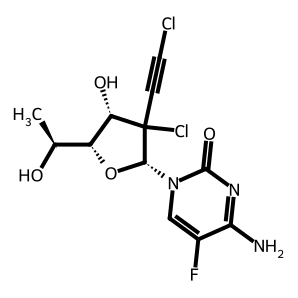 C[C@H](O)[C@H]1O[C@@H](n2cc(F)c(N)nc2=O)C(Cl)(C#CCl)[C@H]1O